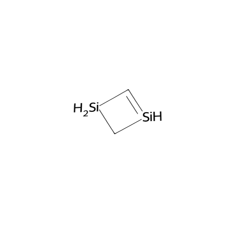 C1=[SiH]C[SiH2]1